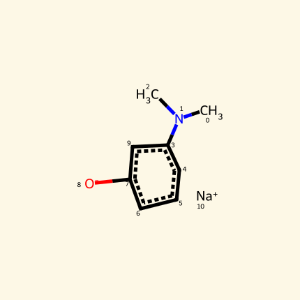 CN(C)c1cccc([O-])c1.[Na+]